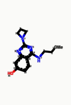 COCCNc1nc(N2CCC2)nc2cc(O)ccc12